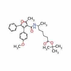 COc1ccc(-c2c(-c3ccccc3)oc(C)c2C(=O)NC(C)CCCCC(=O)OC(C)(C)C)cc1